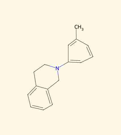 Cc1cccc(N2CCc3ccccc3C2)c1